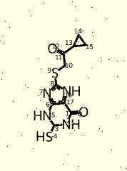 O=C1NC(S)Nc2nc(SCC(=O)C3CC3)[nH]c21